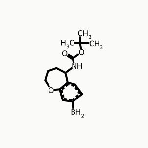 Bc1ccc2c(c1)OCCCC2NC(=O)OC(C)(C)C